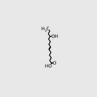 CCCC(O)CCCC=CCCCCC(=O)O